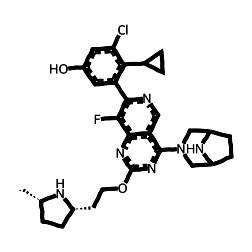 [CH2][C@H]1CC[C@@H](CCOc2nc(N3CC4CCC(C3)N4)c3cnc(-c4cc(O)cc(Cl)c4C4CC4)c(F)c3n2)N1